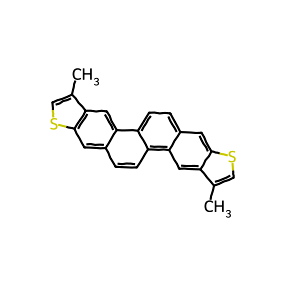 Cc1csc2cc3ccc4c5cc6c(C)csc6cc5ccc4c3cc12